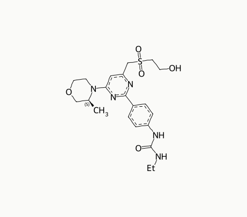 CCNC(=O)Nc1ccc(-c2nc(CS(=O)(=O)CCO)cc(N3CCOC[C@@H]3C)n2)cc1